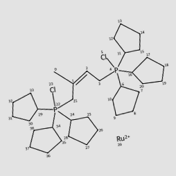 CC(=CCP(Cl)(C1CCCC1)(C1CCCC1)C1CCCC1)CP(Cl)(C1CCCC1)(C1CCCC1)C1CCCC1.[Ru+2]